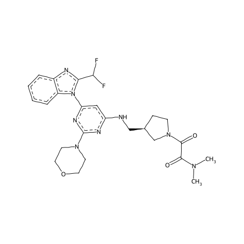 CN(C)C(=O)C(=O)N1CC[C@H](CNc2cc(-n3c(C(F)F)nc4ccccc43)nc(N3CCOCC3)n2)C1